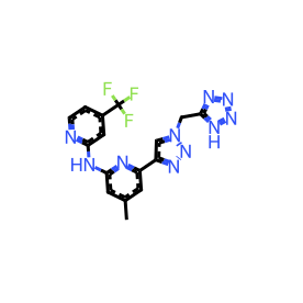 Cc1cc(Nc2cc(C(F)(F)F)ccn2)nc(-c2cn(Cc3nnn[nH]3)nn2)c1